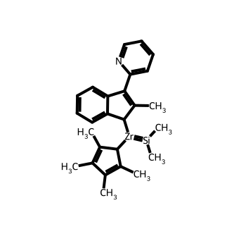 CC1=C(C)[CH]([Zr]([CH]2C(C)=C(c3ccccn3)c3ccccc32)=[Si](C)C)C(C)=C1C